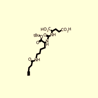 C#CCCC(=O)NCCCCC(NC(=O)NC(CCC(=O)O)C(=O)O)C(=O)OC(C)(C)C